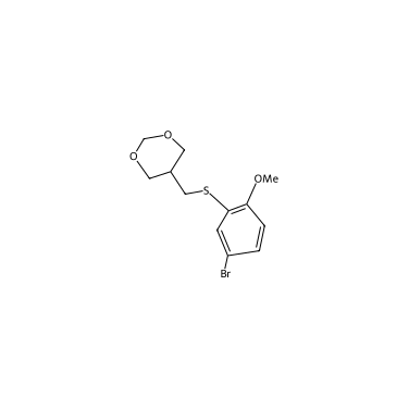 COc1ccc(Br)cc1SCC1COCOC1